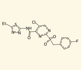 CCc1nnc(NC(=O)c2nc(S(=O)(=O)Cc3ccc(F)cc3)ncc2Cl)s1